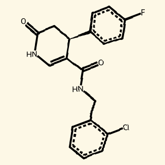 O=C1C[C@@H](c2ccc(F)cc2)C(C(=O)NCc2ccccc2Cl)=CN1